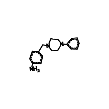 Nc1ccc(CN2CCN(c3ccccc3)CC2)cc1